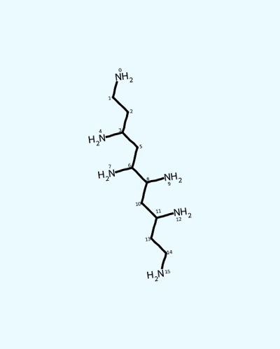 NCCC(N)CC(N)C(N)CC(N)CCN